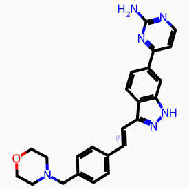 Nc1nccc(-c2ccc3c(/C=C/c4ccc(CN5CCOCC5)cc4)n[nH]c3c2)n1